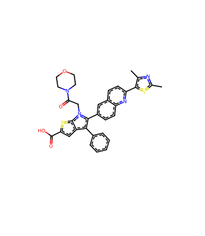 Cc1nc(C)c(-c2ccc3cc(-c4c(-c5ccccc5)c5cc(C(=O)O)sc5n4CC(=O)N4CCOCC4)ccc3n2)s1